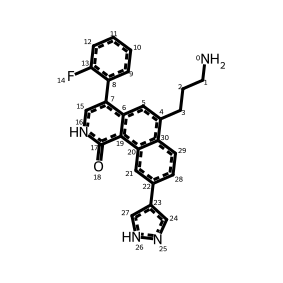 NCCCc1cc2c(-c3ccccc3F)c[nH]c(=O)c2c2cc(-c3cn[nH]c3)ccc12